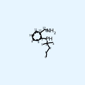 CCCC(C)(C)Pc1ccccc1CN